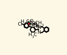 CC1CCC(NS(C)(=O)=O)(c2ccc(Cl)cc2)C(S(C)(=O)=O)=C1C1=NCc2ccccc2C=N1